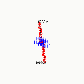 COCCOCCOCCOCCOCCOCCOCCOCCC(=O)NCCNC(=O)c1nc(N)c(C(=O)NCCNC(=O)CCOCCOCCOCCOCCOCCOCCOCCOC)nc1N